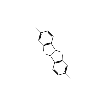 Cc1ccc2c(c1)SC1c3ccc(C)cc3SC21